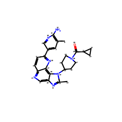 Cc1cc(-c2ccc3ncc4nc(C)n(C5CCN(C(=O)C6CC6)CC5)c4c3n2)cnc1N